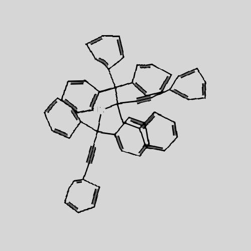 C(#CC(NC(C#Cc1ccccc1)(Cc1ccccc1)C(c1ccccc1)(c1ccccc1)c1ccccc1)(c1ccccc1)c1ccccc1)c1ccccc1